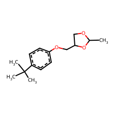 CC1OCC(COc2ccc(C(C)(C)C)cc2)O1